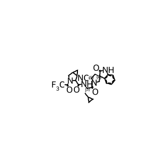 N#C[C@@H]1C[C@@]2(CN1C(=O)[C@H](CC1CC1)NC(=O)C1C3CC3CN1C(=O)C(F)(F)F)C(=O)Nc1ccccc12